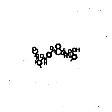 Cc1cnc(N2CC3(CCOCC3)C2)c(C(=O)Nc2ccc(C(=O)N3CCc4cc(C(=O)Nc5c(C)cccc5CO)sc4-c4ccccc43)cc2)c1